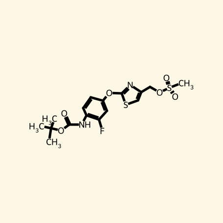 CC(C)(C)OC(=O)Nc1ccc(Oc2nc(COS(C)(=O)=O)cs2)cc1F